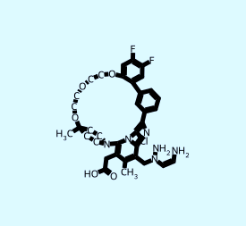 Cc1c(CC(=O)O)c2n3c(Cl)c(nc3c1CN(N)/C=C\N)-c1cccc(c1)-c1cc(F)c(F)cc1OCCOCCOC1(C)CCN2CC1